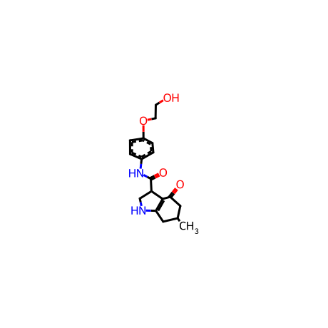 CC1CC(=O)C2=C(C1)NCC2C(=O)Nc1ccc(OCCO)cc1